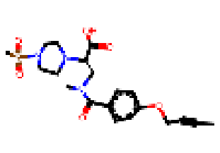 CC#CCOc1ccc(C(=O)N(C)C[C@@H](C(=O)O)N2CCN(S(C)(=O)=O)CC2)cc1